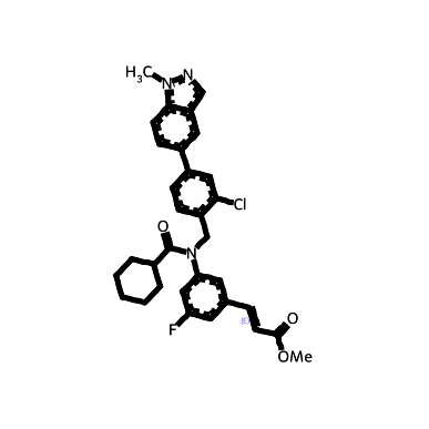 COC(=O)/C=C/c1cc(F)cc(N(Cc2ccc(-c3ccc4c(cnn4C)c3)cc2Cl)C(=O)C2CCCCC2)c1